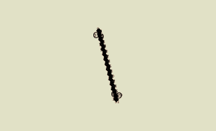 C=CC(=O)OCCCCCCCCCCCCCCCCCCCCCCOC(=O)C=C